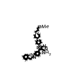 COCCCN1CCC(N2CCC(n3nc(-c4ccc5nc(Cc6ccccc6)[nH]c5c4)c4c(N)ncnc43)CC2)CC1